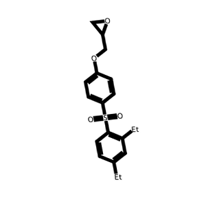 CCc1ccc(S(=O)(=O)c2ccc(OCC3CO3)cc2)c(CC)c1